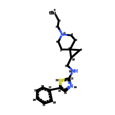 CC(C)(C)CCN1CCC2(CC1)CC2CNc1ncc(-c2ccccc2)s1